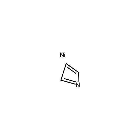 C1=CN=C1.[Ni]